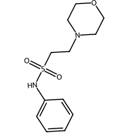 O=S(=O)(CCN1CCOCC1)Nc1ccccc1